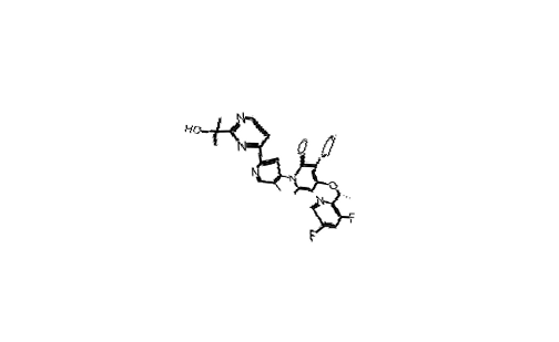 Cc1cnc(-c2ccnc(C(C)(C)O)n2)cc1-n1c(C)cc(O[C@H](C)c2ncc(F)cc2F)c(Cl)c1=O